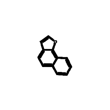 [c]1coc2c1ccc1ccccc12